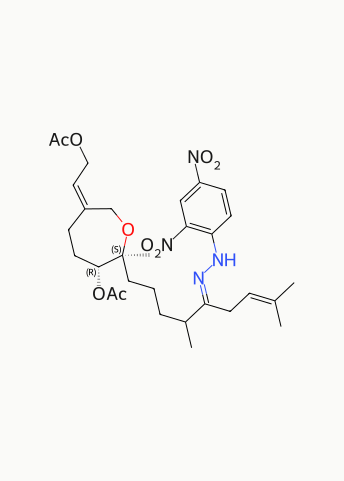 CC(=O)OCC=C1CC[C@@H](OC(C)=O)[C@](C)(CCCC(C)C(CC=C(C)C)=NNc2ccc([N+](=O)[O-])cc2[N+](=O)[O-])OC1